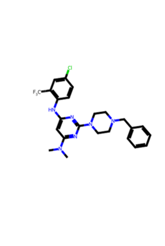 CN(C)c1cc(Nc2ccc(Cl)cc2C(F)(F)F)nc(N2CCN(Cc3ccccc3)CC2)n1